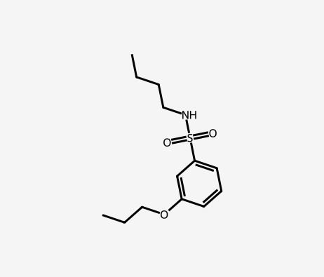 CCCCNS(=O)(=O)c1cccc(OCCC)c1